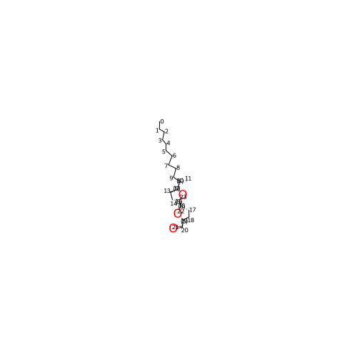 CCCCCCCCCC[C@H](C)[C@@H]1CC[C@@H]([C@@H]2CC[C@@H](C=O)O2)O1